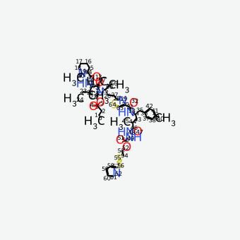 CCCC(=O)OCN(C(=O)[C@@H](NC(=O)C1CCCCN1C)C(C)CC)[C@H](CCc1nc(C(=O)N[C@@H](Cc2ccc(C)cc2)C[C@H](C)C(=O)NNC(=O)OCCSSc2ccccn2)cs1)C(C)C